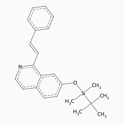 CC(C)(C)[Si](C)(C)Oc1ccc2ccnc(C=Cc3ccccc3)c2c1